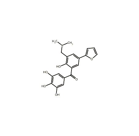 CN(C)Cc1cc(-c2ccco2)cc(C(=O)c2cc(O)c(O)c(O)c2)c1O